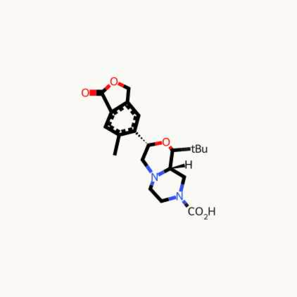 Cc1cc2c(cc1[C@H]1CN3CCN(C(=O)O)C[C@H]3C(C(C)(C)C)O1)COC2=O